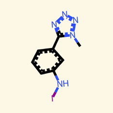 Cn1nnnc1-c1cccc(NI)c1